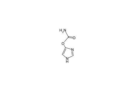 NC(=O)Oc1c[nH]cn1